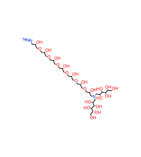 [N-]=[N+]=NCC(O)COCC(O)COCC(O)COCC(O)COCC(O)COCC(O)COCC(O)CN(C[C@H](O)[C@@H](O)[C@H](O)[C@H](O)CO)C[C@H](O)[C@@H](O)[C@H](O)[C@H](O)CO